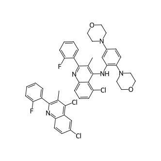 Cc1c(-c2ccccc2F)nc2ccc(Cl)cc2c1Cl.Cc1c(-c2ccccc2F)nc2cccc(Cl)c2c1Nc1cc(N2CCOCC2)ccc1N1CCOCC1